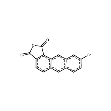 O=C1OC(=O)c2c1ccc1cc3ccc(Br)cc3cc21